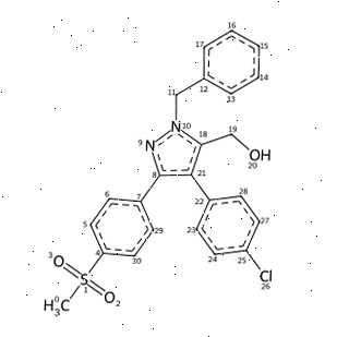 CS(=O)(=O)c1ccc(-c2nn(Cc3ccccc3)c(CO)c2-c2ccc(Cl)cc2)cc1